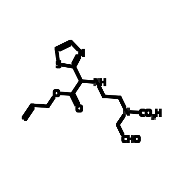 C=CCOC(=O)C(NCCN(CC=O)C(=O)O)c1nccs1